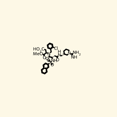 COC(=O)C(CC(=O)O)N(Cc1ccccc1Cl)C(=O)[C@H](CC(=O)NC[C@@H]1CCCN(C(=N)N)C1)NS(=O)(=O)c1ccc2ccccc2c1